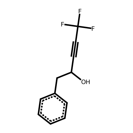 OC(C#CC(F)(F)F)Cc1ccccc1